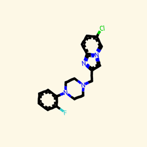 Fc1ccccc1N1CCN(Cc2cn3cc(Cl)ccc3n2)CC1